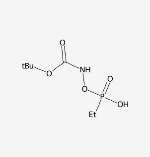 CCP(=O)(O)ONC(=O)OC(C)(C)C